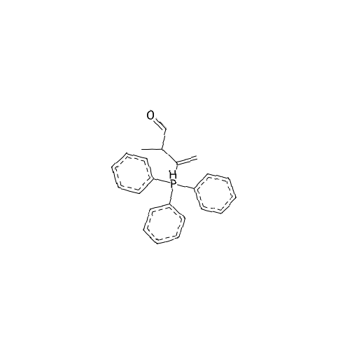 C=C(C(C)C=O)[PH](c1ccccc1)(c1ccccc1)c1ccccc1